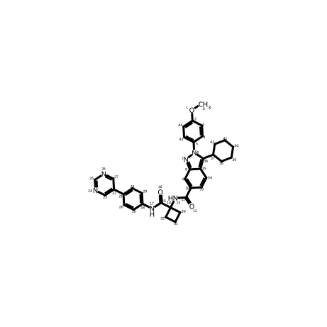 COc1ccc(-n2nc3cc(C(=O)NC4(C(=O)Nc5ccc(-c6cncnc6)cc5)CCC4)ccc3c2C2CCCCC2)cc1